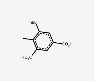 CCCCc1cc(C(=O)O)cc(C(=O)O)c1C